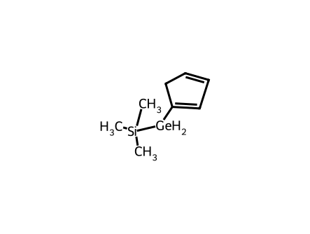 C[Si](C)(C)[GeH2][C]1=CC=CC1